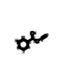 C#COC(=O)c1cccnc1